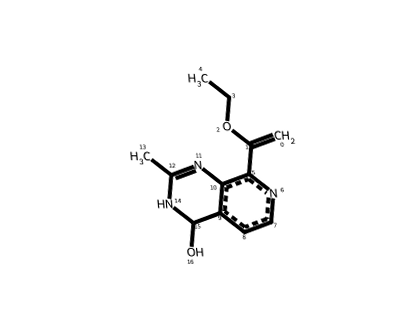 C=C(OCC)c1nccc2c1N=C(C)NC2O